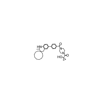 CC1Nc2ccc(-c3ccc(C(=O)N4CCN(C(=O)C5(O)CC5)CC4)cc3)cc2CC12CCCCCCCCC2